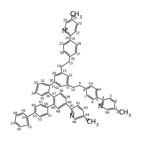 Cc1ccc(-c2ccc(CCc3cc(CCc4ccc(-c5ccc(C)cn5)cc4)cc(-c4ccccc4-c4ccc(-c5ccc(C)cn5)cc4-c4ccc(-c5ccccc5)cc4)c3)cc2)nc1